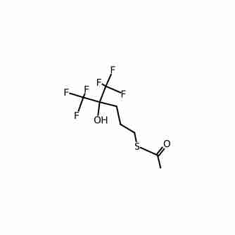 CC(=O)SCCCC(O)(C(F)(F)F)C(F)(F)F